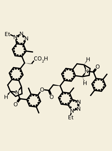 CCn1nnc2c(C)c([C@H](CC(=O)O)c3ccc4c(c3)C3CC[C@H](C4)N3C(=O)c3cc(C)cc(OC(=O)C[C@@H](c4ccc5c(c4)[C@@H]4CC[C@H](C5)N4C(=O)c4cc(C)ccc4C)c4ccc5c(nnn5CC)c4C)c3C)ccc21